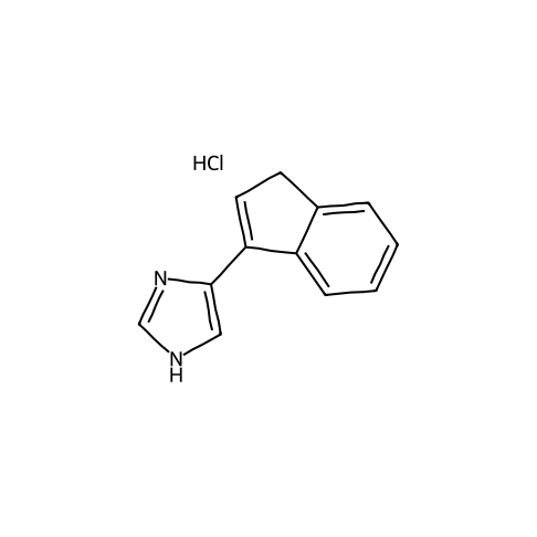 C1=C(c2c[nH]cn2)c2ccccc2C1.Cl